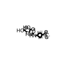 O=C(O)C[C@H](NC(=O)Nc1ccc([N+](=O)[O-])cc1)C(=O)O